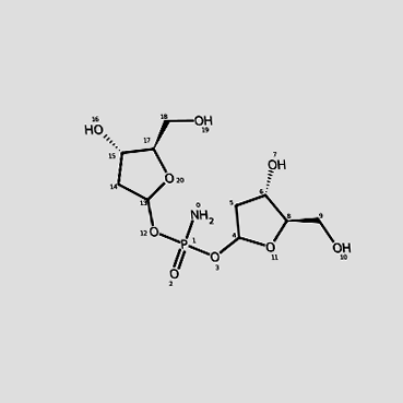 NP(=O)(OC1C[C@H](O)[C@@H](CO)O1)OC1C[C@H](O)[C@@H](CO)O1